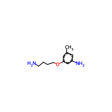 Cc1cc(N)cc(OCCCCN)c1